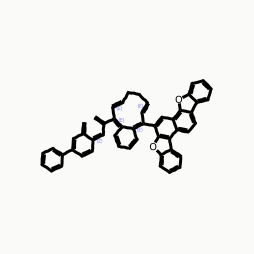 C=C(/C=c1/ccc(-c2ccccc2)cc1=C)C1=c2\cccc\c2=C(c2cc3c(ccc4c5ccccc5oc43)c3c2oc2ccccc23)\C=C\CC\C=C\1